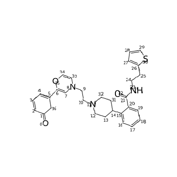 O=C1C=CC=C(C2=CN(CCN3CCC(c4ccccc4C(=O)NCCc4cccs4)CC3)C=CO2)C1